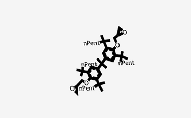 CCCCCC(C)(C)c1cc(C(C)(C)c2cc(C(C)(C)CCCCC)c(OCC3CO3)c(C(C)(C)CCCCC)c2)cc(C(C)(C)CCCCC)c1OCC1CO1